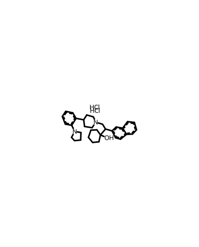 Cl.Cl.OC1(C(CN2CCC(c3ccccc3N3CCCC3)CC2)c2ccc3ccccc3c2)CCCCC1